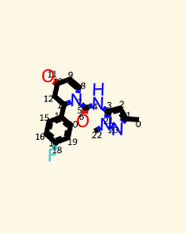 Cc1cc(NC(=O)N2C=CC(=O)CC2c2ccc(F)cc2)n(C)n1